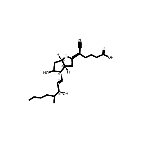 CCCCC(C)[C@H](O)/C=C/[C@H]1C(O)C[C@@H]2OC(=C(C#N)CCCC(=O)O)C[C@@H]21